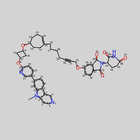 Cn1c2ccncc2c2ccc(-c3ccc(OC4CC(OC5CCC=C(CCCCC#CCOc6ccc7c(c6)C(=O)N(C6CCC(=O)NC6=O)C7=O)CC5)C4)nc3)cc21